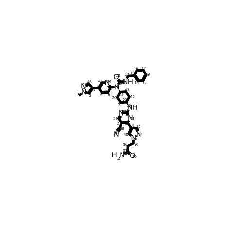 Cn1cc(-c2ccc(N(C(=O)NCc3ccccc3)[C@H]3CC[C@H](Nc4ncc(C#N)c(-c5cnn(CCC(N)=O)c5)n4)CC3)nc2)cn1